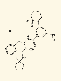 CCNc1cc(C(=O)N[C@@H](Cc2ccccc2)[C@H](O)CNC2(C)CCCC2)cc(N2CCCCS2(=O)=O)c1.Cl